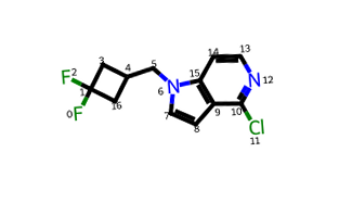 FC1(F)CC(Cn2ccc3c(Cl)nccc32)C1